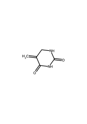 C=C1CNC(=O)NC1=O